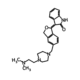 CN(C)CCN1CCN(Cc2ccc3c(c2)CO/C3=C2/C(=O)Nc3ccccc32)CC1